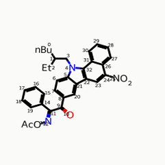 CCCCC(CC)Cn1c2ccc(C(=O)/C(=N/OC(C)=O)c3ccccc3)cc2c2cc([N+](=O)[O-])c3ccccc3c21